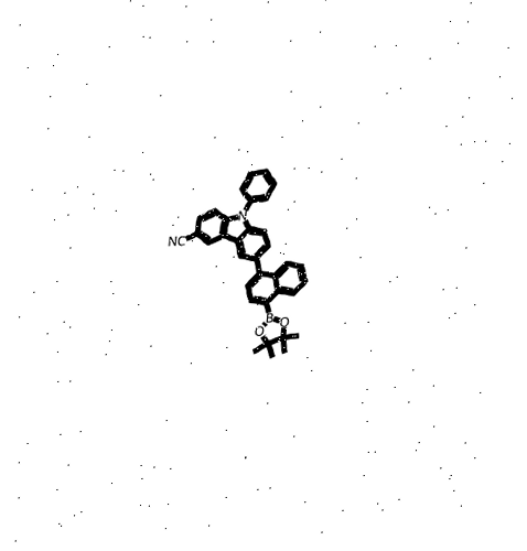 CC1(C)OB(c2ccc(-c3ccc4c(c3)c3cc(C#N)ccc3n4-c3ccccc3)c3ccccc23)OC1(C)C